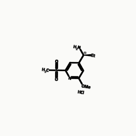 CC[C@H](N)c1cc(OC)nc(S(C)(=O)=O)c1.Cl